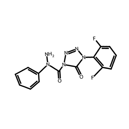 NN(C(=O)n1nnn(-c2c(F)cccc2F)c1=O)c1ccccc1